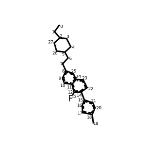 CCC1CCC(CCc2ccc3c(F)c(-c4ccc(C)cc4)ccc3c2)CC1